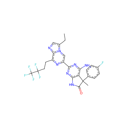 CCc1cnc2c(CCC(F)(F)C(F)(F)F)nc(-c3nc(N)c4c(n3)NC(=O)C4(C)c3ccc(F)cc3)cn12